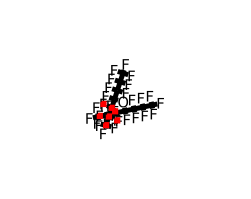 FC(F)(F)C(F)(F)C(F)(F)C(F)(OC(F)(C(F)(F)C(F)(F)C(F)(F)F)C(F)(F)C(F)(F)C(F)(F)F)C(F)(F)C(F)(F)C(F)(F)F